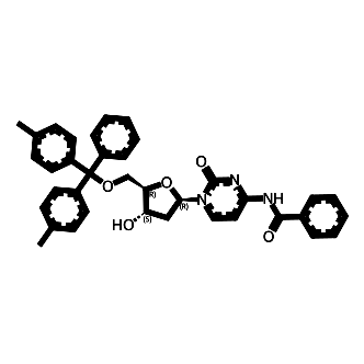 Cc1ccc(C(OC[C@H]2O[C@@H](n3ccc(NC(=O)c4ccccc4)nc3=O)C[C@@H]2O)(c2ccccc2)c2ccc(C)cc2)cc1